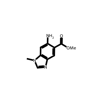 COC(=O)c1cc2ncn(C)c2cc1N